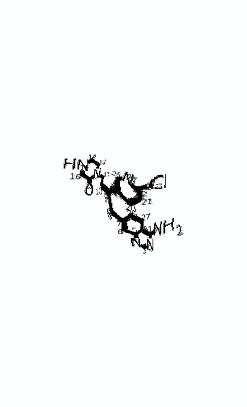 Nc1ncnc2cc(CC(=CCN3CCNCC3=O)c3ccc(Cl)nc3)ccc12